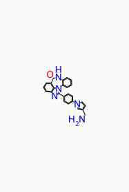 NCc1ccn(-c2ccc(-c3nc4cccc5c4n3-c3ccccc3NC5=O)cc2)c1